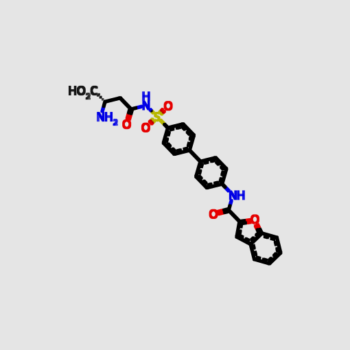 N[C@@H](CC(=O)NS(=O)(=O)c1ccc(-c2ccc(NC(=O)c3cc4ccccc4o3)cc2)cc1)C(=O)O